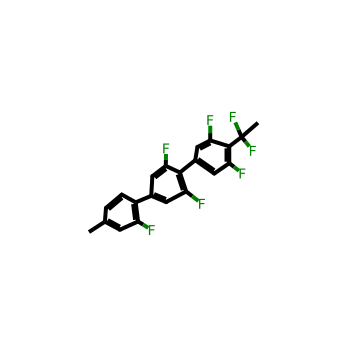 Cc1ccc(-c2cc(F)c(-c3cc(F)c(C(C)(F)F)c(F)c3)c(F)c2)c(F)c1